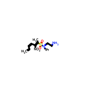 C=C/C=C\C(=C(/C)S(=O)(=O)N(CCN)C(C)C)[N+](=O)[O-]